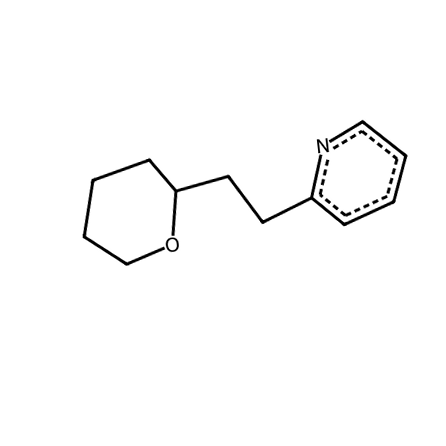 c1ccc(CCC2CCCCO2)nc1